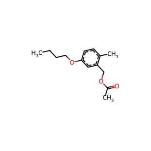 CCCCOc1ccc(C)c(COC(C)=O)c1